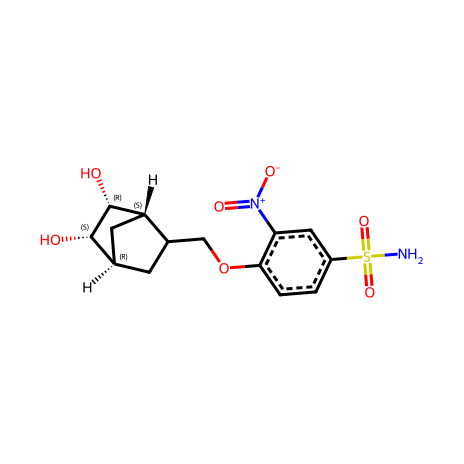 NS(=O)(=O)c1ccc(OCC2C[C@@H]3C[C@@H]2[C@@H](O)[C@H]3O)c([N+](=O)[O-])c1